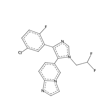 Fc1ccc(Cl)cc1-c1ncn(CC(F)F)c1-c1ccc2nccn2c1